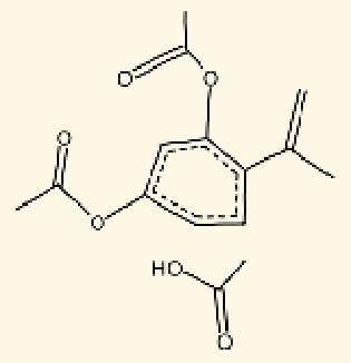 C=C(C)c1ccc(OC(C)=O)cc1OC(C)=O.CC(=O)O